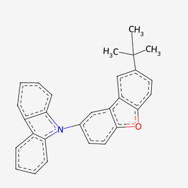 CC(C)(C)c1ccc2oc3ccc(-n4c5ccccc5c5ccccc54)cc3c2c1